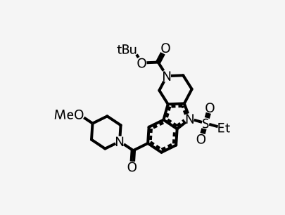 CCS(=O)(=O)n1c2c(c3cc(C(=O)N4CCC(OC)CC4)ccc31)CN(C(=O)OC(C)(C)C)CC2